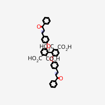 O=C(/C=C/c1ccc(Oc2ccc(C(=O)O)c(C(=O)O)c2-c2c(Oc3ccc(/C=C/C(=O)c4ccccc4)cc3)ccc(C(=O)O)c2C(=O)O)cc1)c1ccccc1